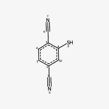 N#Cc1ccc(C#N)c(S)c1